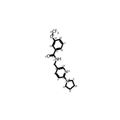 O=C(NCc1ccc(N2CCCC2)nc1)c1cccc(OC(F)(F)F)c1